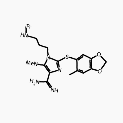 CNc1c(C(=N)N)nc(Sc2cc3c(cc2C)OCO3)n1CCCNC(C)C